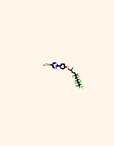 CCCCCCCCc1cnc(-c2ccc(OCC(F)CCC(F)(F)C(F)(F)C(F)(F)C(F)(F)C(F)(F)C(F)(F)F)cc2)nc1